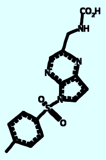 Cc1ccc(S(=O)(=O)n2ccc3nc(CNC(=O)O)cnc32)cc1